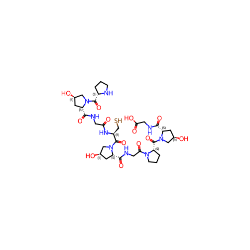 O=C(O)CNC(=O)[C@@H]1C[C@@H](O)CN1C(=O)[C@@H]1CCCN1C(=O)CNC(=O)[C@@H]1C[C@@H](O)CN1C(=O)[C@H](CS)NC(=O)CNC(=O)[C@@H]1C[C@@H](O)CN1C(=O)[C@@H]1CCCN1